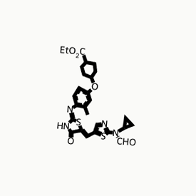 CCOC(=O)C1CCC(Oc2ccc(/N=C3/NC(=O)/C(=C/c4cnc(N(C=O)C5CC5)s4)S3)c(C)c2)CC1